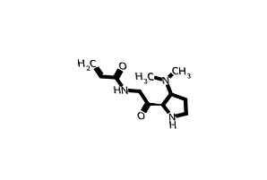 C=CC(=O)NCC(=O)[C@@H]1NCCC1N(C)C